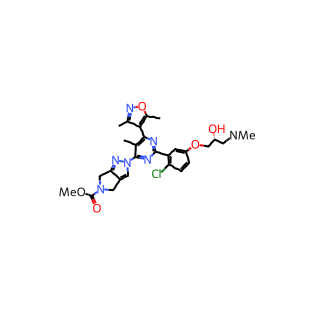 CNC[C@@H](O)COc1ccc(Cl)c(-c2nc(-c3c(C)noc3C)c(C)c(-n3cc4c(n3)CN(C(=O)OC)C4)n2)c1